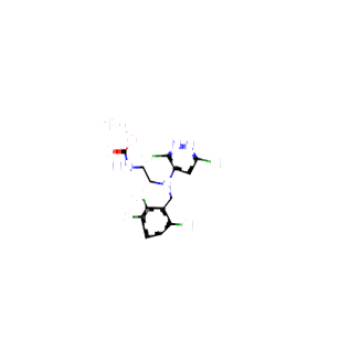 CC(C)(C)OC(=O)NCCN(Cc1c(Cl)ccc(F)c1Cl)c1cc(Cl)nnc1Cl